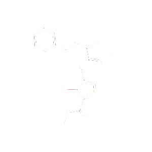 CC[C@@H](NC1=NS(=O)(=O)N=C1Nc1csc(C(=O)N(C)C)c1O)c1ccccc1